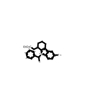 CCOC(=O)CC1CCCc2c1n(C(C)c1ccccc1)c1ccc(F)cc21